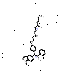 CC/C(=C(/c1ccc(OCCNC/C=C/C(=O)NCCO)cc1)c1ccc2[nH]ncc2c1)c1ccccc1C